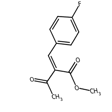 COC(=O)/C(=C\c1ccc(F)cc1)C(C)=O